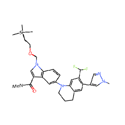 CNC(=O)c1cn(COCC[Si](C)(C)C)c2ccc(N3CCCc4cc(-c5cnn(C)c5)c(C(F)F)cc43)cc12